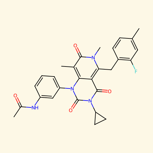 CC(=O)Nc1cccc(-n2c(=O)n(C3CC3)c(=O)c3c(Cc4ccc(C)cc4F)n(C)c(=O)c(C)c32)c1